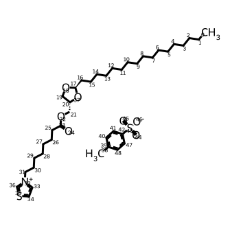 CCCCCCCCCCCCCCCCC[C@@H]1OC[C@@H](COC(=O)CCCCCCC[n+]2ccsc2)O1.Cc1ccc(S(=O)(=O)[O-])cc1